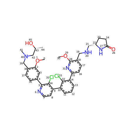 COc1cc(-c2nccc(-c3cccc(-c4ccc(CNC[C@@H]5CCC(=O)N5)c(OC)n4)c3Cl)c2Cl)ccc1CN(C)C[C@@H](C)O